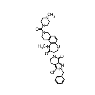 CN1CCN(C(=O)N2CCc3c(ccc4c3N(C)C(=O)[C@@H](N3CCc5c(nn(Cc6ccccc6)c5Cl)C3=O)CO4)C2)CC1